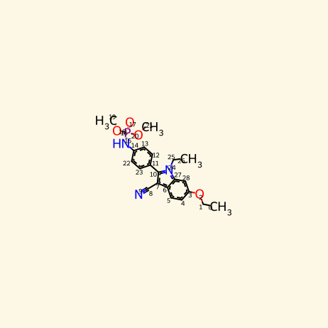 CCOc1ccc2c(C#N)c(-c3ccc(NP(=O)(OC)OC)cc3)n(CC)c2c1